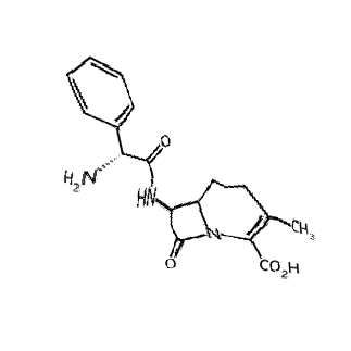 CC1=C(C(=O)O)N2C(=O)C(NC(=O)[C@H](N)c3ccccc3)C2CC1